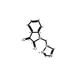 O=C1C(=O)N(Cn2cncn2)c2ccccc21